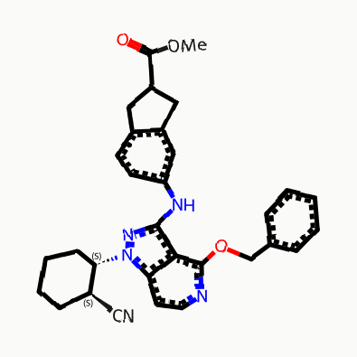 COC(=O)C1Cc2ccc(Nc3nn([C@H]4CCCC[C@@H]4C#N)c4ccnc(OCc5ccccc5)c34)cc2C1